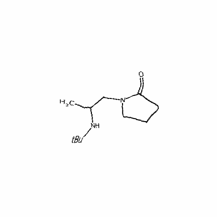 CC(CN1CCCC1=O)NC(C)(C)C